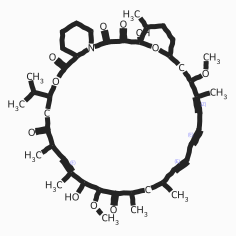 COC1CC2CCC(C)C(O)(O2)C(=O)C(=O)N2CCCCC2C(=O)OC(C(C)C)CC(=O)C(C)/C=C(\C)C(O)C(OC)C(=O)C(C)CC(C)/C=C/C=C/C=C\1C